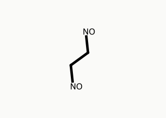 O=NCCN=O